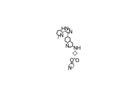 Cc1cccc(-c2[nH]cnc2-c2ccc3ncc(N[C@H]4C[C@@H](C(=O)O[C@@H]5CCN(C)C5)C4)cc3c2)n1